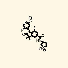 CCOc1cc(N2C(=O)C(C)(C)c3cc(C(=O)N[C@@]4(C)CCS(=O)(=O)C4)cc(F)c32)c(F)cn1